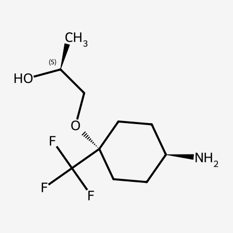 C[C@H](O)CO[C@]1(C(F)(F)F)CC[C@@H](N)CC1